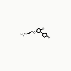 CC#CCOc1ccc([S])c(-c2ccc(Br)cc2)c1